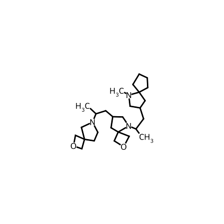 CC(CC1CN(C(C)CC2CN(C)C3(CCCC3)C2)C2(COC2)C1)N1CCC2(COC2)C1